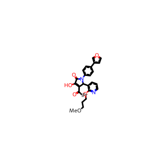 COCCCOc1ncccc1C1C(C(=O)C(C)C)=C(O)C(=O)N1c1ccc(-c2ccoc2)cc1